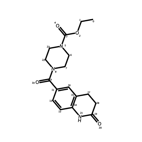 CCOC(=O)N1CCN(C(=O)c2ccc3c(c2)CCC(=O)N3)CC1